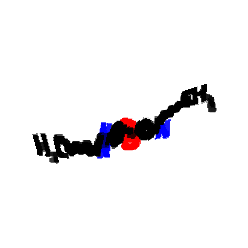 CCCCCCCCC[C@]1(C#N)CC[C@H](C(=O)Oc2ccc(-c3ncc(CCCCCCC)cn3)cc2)CC1